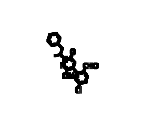 COc1nn(C(C)Cc2ccccc2)c(=O)cc1-c1cc(Cl)ccc1C=O